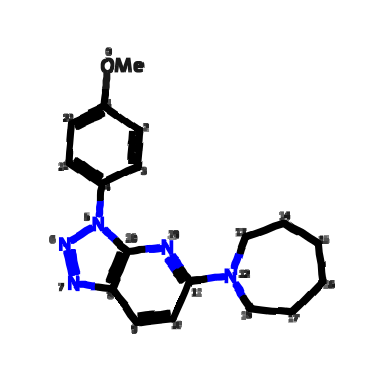 COc1ccc(-n2nnc3ccc(N4CCCCCC4)nc32)cc1